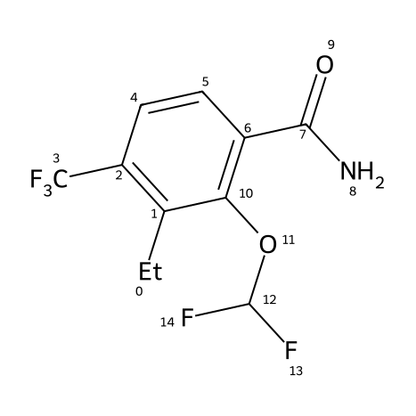 CCc1c(C(F)(F)F)ccc(C(N)=O)c1OC(F)F